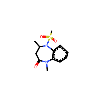 CC1CC(=O)N(C)c2ccccc2N1S(C)(=O)=O